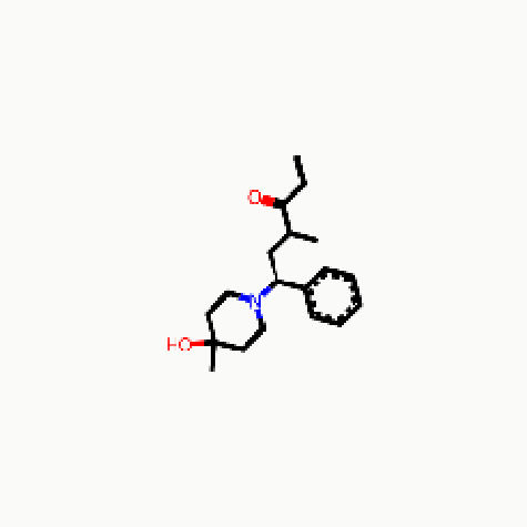 CCC(=O)C(C)C[C@@H](c1ccccc1)N1CCC(C)(O)CC1